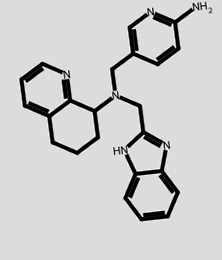 Nc1ccc(CN(Cc2nc3ccccc3[nH]2)C2CCCc3cccnc32)cn1